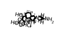 Cl.N[C@@H]1[C@H]2CN(c3cc4c(c(F)c3F)-c3[nH]c(=O)c(OC(=O)O)c(O)c3CCC4)C[C@@H]12